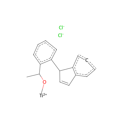 CC([O][Ti+2])c1ccccc1C1C=Cc2ccccc21.[Cl-].[Cl-]